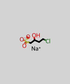 O=S(=O)([O-])CC(O)CCCl.[Na+]